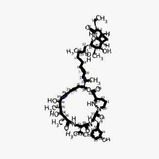 CC[C@H]1C[C@@H]2C[C@H]3[C@@H](O)[C@@H](C)[C@H](C[C@H](O)[C@@H](C)CC/C=C/C=C(\C)[C@@H]4C/C=C/C=C/[C@H](O)[C@H](C)[C@@H](O)[C@@H](C)C(=O)N[C@@H](C(C)C)C(=O)N[C@@H](Cc5cccc(O)c5)C(=O)N5CCCC(N5)C(=O)O4)O[C@]23NC1=O